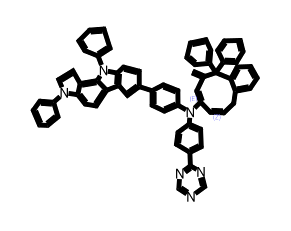 C=C1/C=C(N(c2ccc(-c3ccc4c(c3)c3ccc5c(ccn5-c5ccccc5)c3n4-c3ccccc3)cc2)c2ccc(-c3ncncn3)cc2)\C=C/Cc2ccccc2C1(c1ccccc1)c1ccccc1